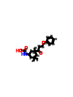 CC1(C)CC(NC(=O)O)CC(C)(C(=O)CCOc2ccccc2)C1